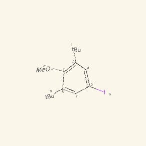 COc1c(C(C)(C)C)cc(I)cc1C(C)(C)C